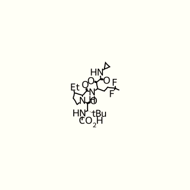 CCC1CCN(C(=O)[C@@H](NC(=O)O)C(C)(C)C)C1C(=O)NC(CCC(C)(F)F)C(=O)C(=O)NC1CC1